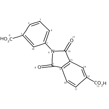 O=C(O)c1cccc(N2C(=O)c3ccc(C(=O)O)cc3C2=O)c1